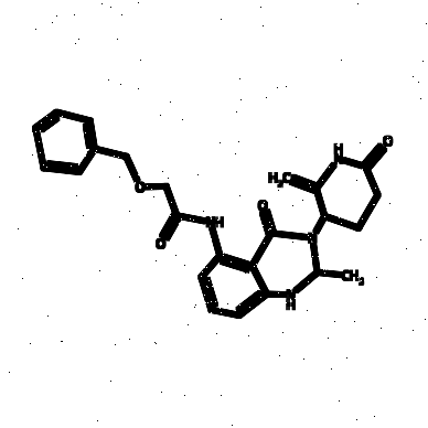 C=C1NC(=O)CCC1N1C(=O)c2c(NC(=O)COCc3ccccc3)cccc2NC1C